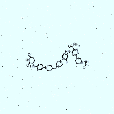 CC(=O)N[C@@H]1CCCN(c2nnc(C(N)=O)c(Nc3ccc(N4CCN(CC5CCN(c6ccc(NC7CCC(=O)NC7=O)nc6)CC5)CC4)c(F)c3)n2)C1